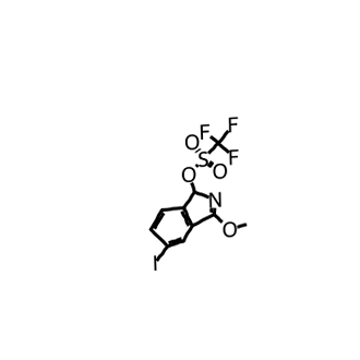 COC1=NC(OS(=O)(=O)C(F)(F)F)c2ccc(I)cc21